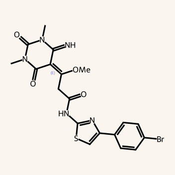 CO/C(CC(=O)Nc1nc(-c2ccc(Br)cc2)cs1)=C1\C(=N)N(C)C(=O)N(C)C1=O